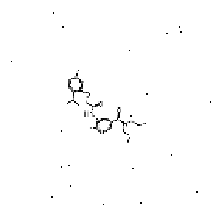 CCCN(CCC)C(=O)c1ccc(C)c(NC(=O)COc2cc(C)ccc2C(C)C)c1